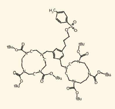 Cc1ccc(S(=O)(=O)OCCCc2cc(CN3CCN(C(=O)OC(C)(C)C)CCN(C(=O)OC(C)(C)C)CCN(C(=O)OC(C)(C)C)CC3)cc(CN3CCN(C(=O)OC(C)(C)C)CCN(C(=O)OC(C)(C)C)CCN(C(=O)OC(C)(C)C)CC3)c2)cc1